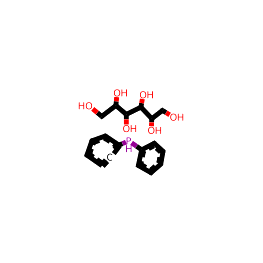 OCC(O)C(O)C(O)C(O)CO.c1ccc(Pc2ccccc2)cc1